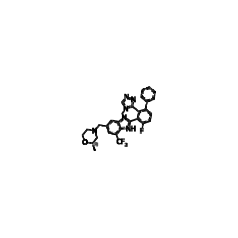 C[C@@H]1CN(Cc2cc(C(F)(F)F)c3[nH]c(-c4c(F)ccc(-c5ccccc5)c4-c4nncn4C)nc3c2)CCO1